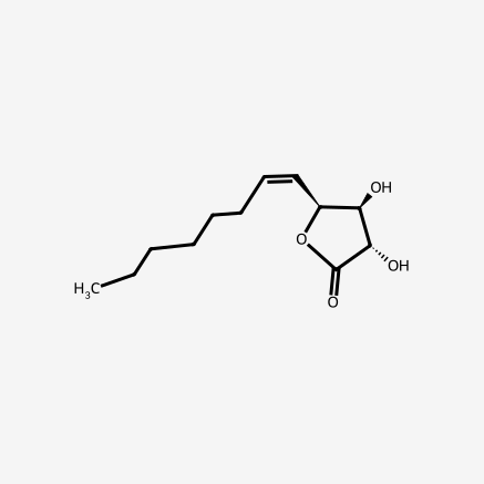 CCCCCC/C=C\[C@@H]1OC(=O)[C@@H](O)[C@@H]1O